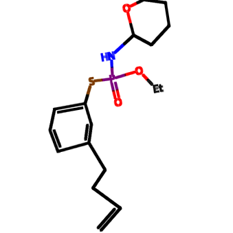 C=CCCc1cccc(SP(=O)(NC2CCCCO2)OCC)c1